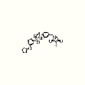 O=C1CN(Cc2ccc(C3(NS(=O)(=O)c4cccc(OC5CCCC5)c4)CC3)cc2)C(=O)N1